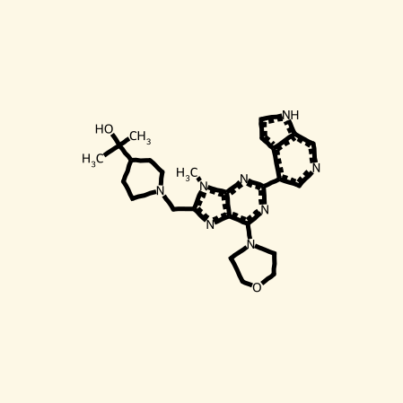 Cn1c(CN2CCC(C(C)(C)O)CC2)nc2c(N3CCOCC3)nc(-c3cncc4[nH]ccc34)nc21